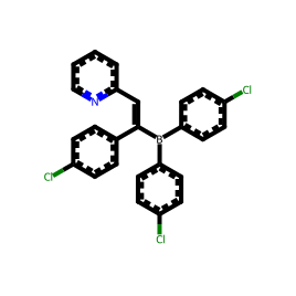 Clc1ccc(B(C(=Cc2ccccn2)c2ccc(Cl)cc2)c2ccc(Cl)cc2)cc1